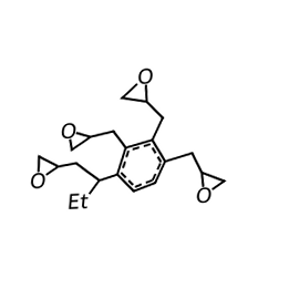 CCC(CC1CO1)c1ccc(CC2CO2)c(CC2CO2)c1CC1CO1